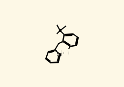 CC(C)(C)c1cccc(O)c1Cc1ccccc1